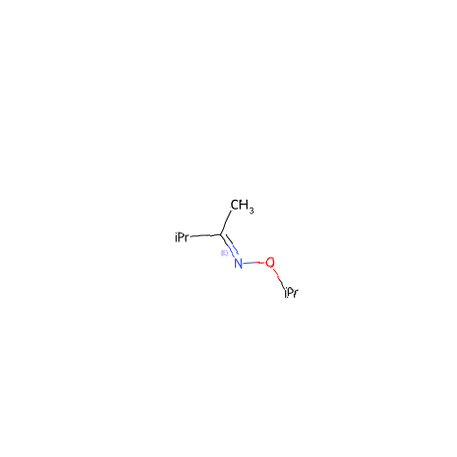 C/C(=N\OC(C)C)C(C)C